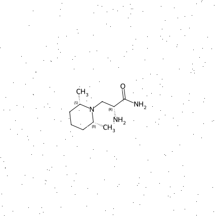 C[C@@H]1CCC[C@H](C)N1C[C@@H](N)C(N)=O